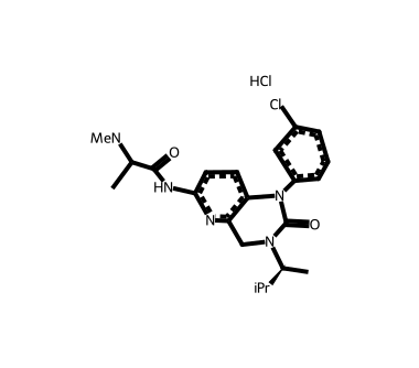 CNC(C)C(=O)Nc1ccc2c(n1)CN([C@@H](C)C(C)C)C(=O)N2c1cccc(Cl)c1.Cl